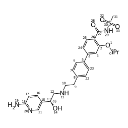 CC(C)Oc1cc(-c2ccc(CCNC[C@@H](O)c3ccc(N)nc3)cc2)ccc1C(=O)NS(C)(=O)=O